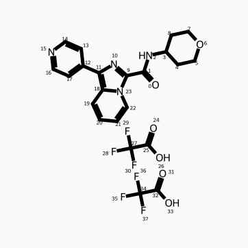 O=C(NC1CCOCC1)c1nc(-c2ccncc2)c2ccccn12.O=C(O)C(F)(F)F.O=C(O)C(F)(F)F